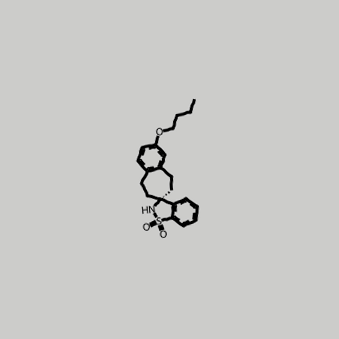 CCCCOc1ccc2c(c1)CC[C@@]1(CC2)NS(=O)(=O)c2ccccc21